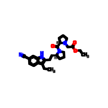 CCOC(=O)CN1CCC[C@@H]1C(=O)N1CCC[C@H]1CCc1[nH]c2cc(C#N)ccc2c1CC